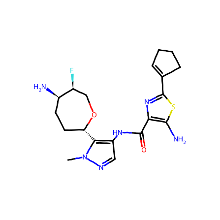 Cn1ncc(NC(=O)c2nc(C3=CCCC3)sc2N)c1[C@@H]1CC[C@@H](N)[C@@H](F)CO1